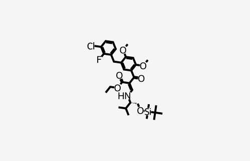 CCOC(=O)C(=CN[C@H](CO[Si](C)(C)C(C)(C)C)C(C)C)C(=O)c1cc(Cc2cccc(Cl)c2F)c(OC)cc1OC